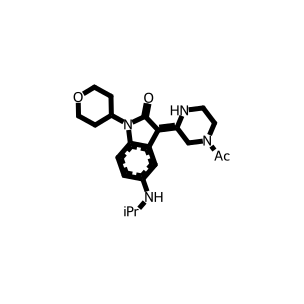 CC(=O)N1CCN/C(=C2\C(=O)N(C3CCOCC3)c3ccc(NC(C)C)cc32)C1